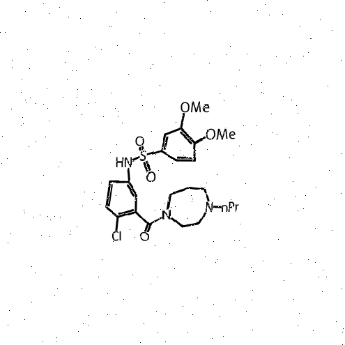 CCCN1CCCN(C(=O)c2cc(NS(=O)(=O)c3ccc(OC)c(OC)c3)ccc2Cl)CC1